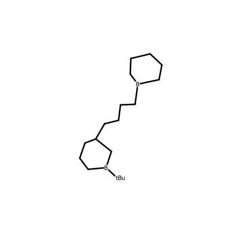 CC(C)(C)B1CCCC(CCCCB2CCCCC2)C1